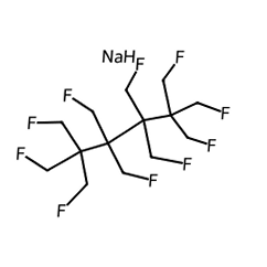 FCC(CF)(CF)C(CF)(CF)C(CF)(CF)C(CF)(CF)CF.[NaH]